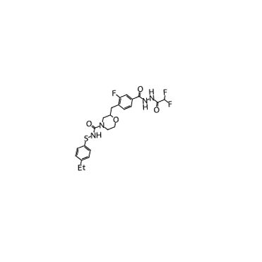 CCc1ccc(SNC(=O)N2CCOC(Cc3ccc(C(=O)NNC(=O)C(F)F)cc3F)C2)cc1